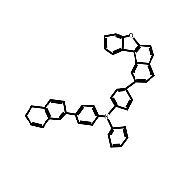 C1=Cc2cc(-c3ccc(N(c4ccccc4)c4ccc(-c5ccc6ccc7oc8ccccc8c7c6c5)cc4)cc3)ccc2CC1